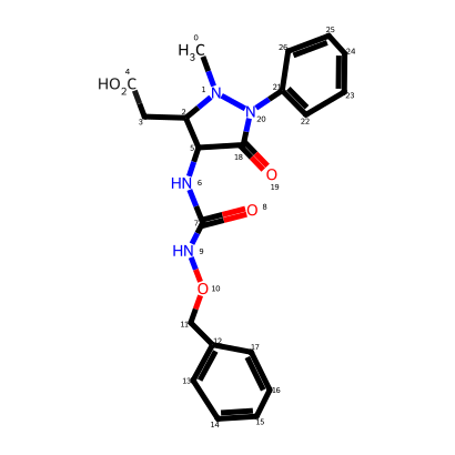 CN1C(CC(=O)O)C(NC(=O)NOCc2ccccc2)C(=O)N1c1ccccc1